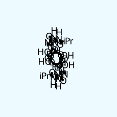 CC(C)C(=O)Nc1nc2c(ncn2[C@@H]2O[C@@H]3COP(=O)(O)O[C@H]4[C@@H](O)[C@H](n5cnc6c(=O)[nH]c(NC(=O)C(C)C)nc65)O[C@@H]4COP(=O)(O)O[C@H]3[C@H]2O)c(=O)[nH]1